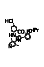 Cc1ccc(Nc2cc(-c3cccc(OC(C)C)c3)nn2-c2c(C)cncc2C)c(C(=O)O)c1.Cl